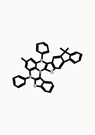 Cc1cc2c3c(c1)N(c1ccccc1)c1c(oc4cc5c(cc14)C(C)(C)c1ccccc1-5)B3c1c(oc3ccccc13)N2c1ccccc1